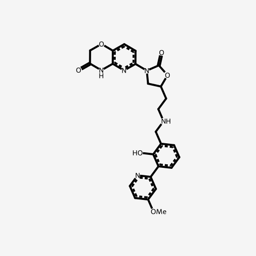 COc1ccnc(-c2cccc(CNCCC3CN(c4ccc5c(n4)NC(=O)CO5)C(=O)O3)c2O)c1